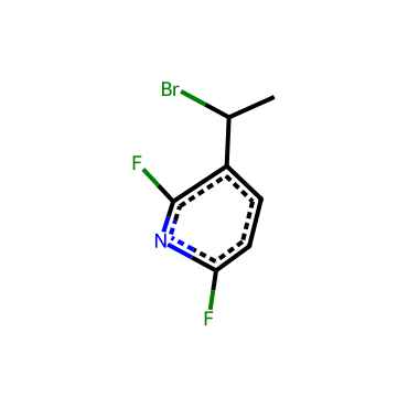 CC(Br)c1ccc(F)nc1F